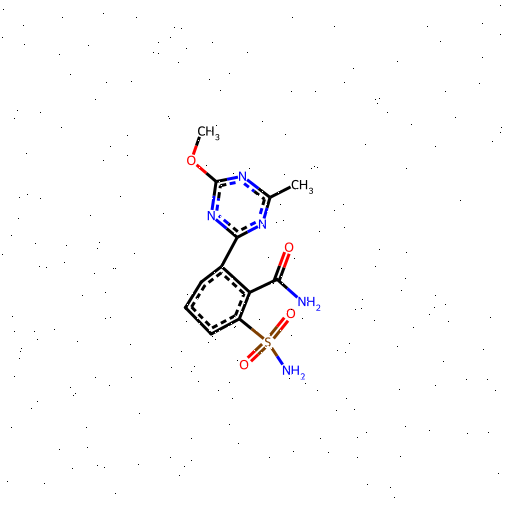 COc1nc(C)nc(-c2cccc(S(N)(=O)=O)c2C(N)=O)n1